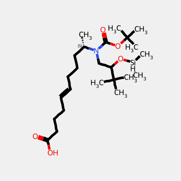 C[C@@H](CCCC=CCCCC(=O)O)N(CC(O[SiH](C)C)C(C)(C)C)C(=O)OC(C)(C)C